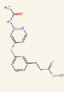 COC(=O)CCc1cccc(Oc2ccnc(NC(C)=O)c2)c1